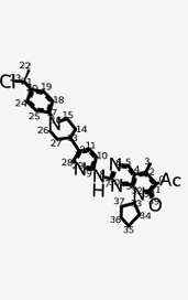 CC(=O)c1c(C)c2cnc(Nc3ccc(C4CCN(c5ccc([C@H](C)Cl)cc5)CC4)cn3)nc2n(C2CCCC2)c1=O